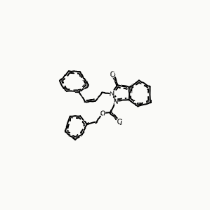 O=C(OCc1ccccc1)n1c2ccccc2c(=O)n1CC=Cc1ccccc1